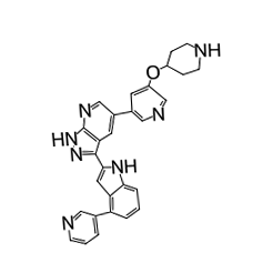 c1cncc(-c2cccc3[nH]c(-c4n[nH]c5ncc(-c6cncc(OC7CCNCC7)c6)cc45)cc23)c1